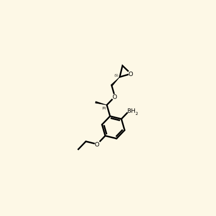 Bc1ccc(OCC)cc1[C@@H](C)OC[C@H]1CO1